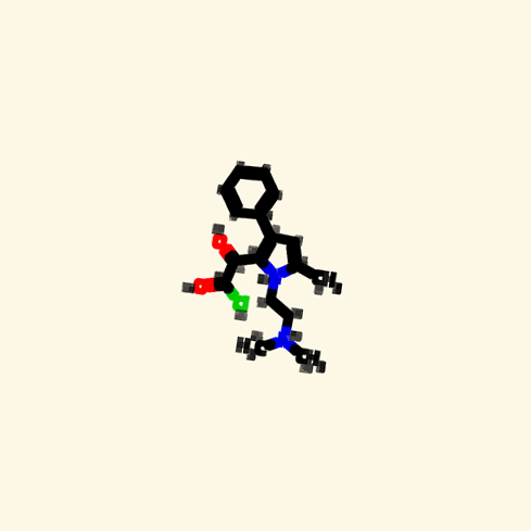 Cc1cc(-c2ccccc2)c(C(=O)C(=O)Cl)n1CCN(C)C